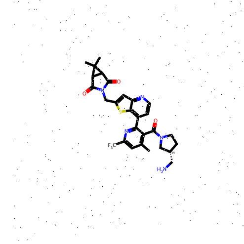 Cc1cc(C(F)(F)F)nc(-c2ccnc3cc(CN4C(=O)C5C(C4=O)C5(C)C)sc23)c1C(=O)N1CC[C@H](CN)C1